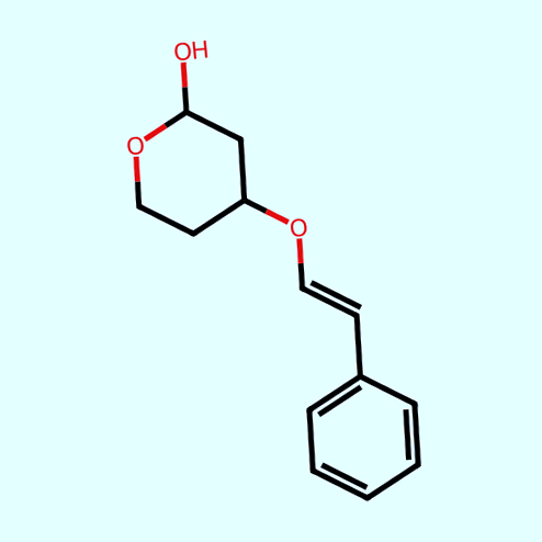 OC1CC(OC=Cc2ccccc2)CCO1